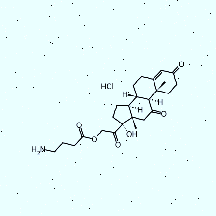 C[C@]12CCC(=O)C=C1CC[C@@H]1[C@@H]2C(=O)C[C@@]2(C)[C@H]1CC[C@]2(O)C(=O)COC(=O)CCCN.Cl